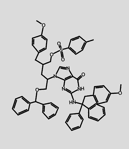 COc1ccc(CC(COS(=O)(=O)c2ccc(C)cc2)CC(COC(c2ccccc2)c2ccccc2)n2cnc3c(=O)[nH]c(NC(Cc4ccc(OC)cc4)(c4ccccc4)c4ccccc4)nc32)cc1